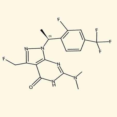 C[C@@H](c1ccc(C(F)(F)F)cc1F)n1nc(CF)c2c(=O)[nH]c(N(C)C)nc21